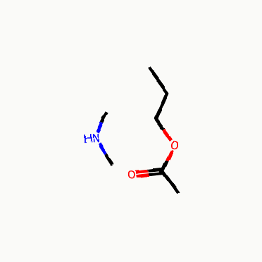 CCCOC(C)=O.CNC